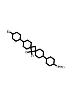 CCCCCCCC1CCC(C2CCC3(CC2)CC2(CCC(C4CCC(CC)CC4)CC2)C3(Cl)Cl)CC1